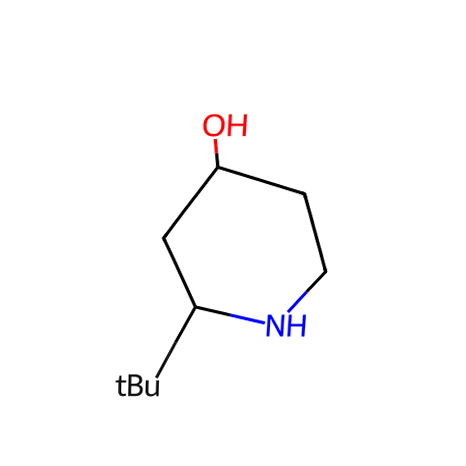 CC(C)(C)C1CC(O)CCN1